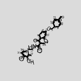 Cc1ccc(COc2ccc3c(=O)c(C(=O)NCCn4ccc(=O)c(O)c4C)coc3c2)cc1